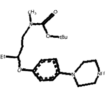 CCC(CCN(C)C(=O)OC(C)(C)C)Oc1ccc(N2CCNCC2)cc1